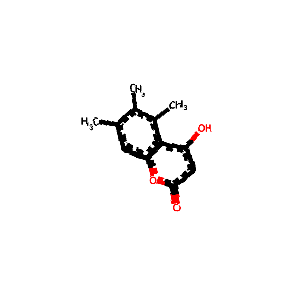 Cc1cc2oc(=O)cc(O)c2c(C)c1C